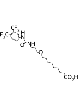 O=C(O)CCCCCCCCOCCCNC(=O)Nc1ccc(C(F)(F)F)c(C(F)(F)F)c1